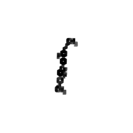 CCCCCc1ccc(-c2ccc(CCc3ccc(C4CCC(CCC)CC4)c(F)c3F)cc2)c(F)c1